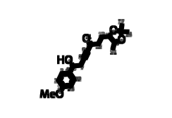 COc1ccc(C(O)CC#CC(=O)CCC2OC(C)(C)OC2C)cc1